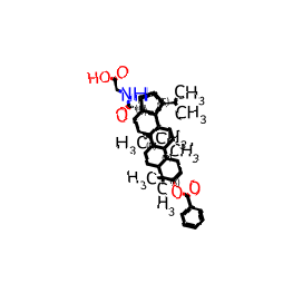 CC(C)[C@@H]1CC[C@]2(C(=O)NCC(=O)O)CC[C@]3(C)C(CCC4[C@@]5(C)CC[C@@H](OC(=O)c6ccccc6)C(C)(C)C5CC[C@]43C)C12